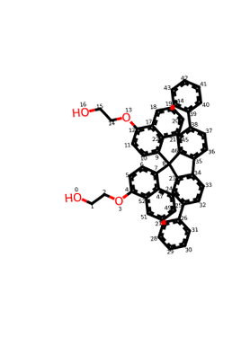 OCCOc1ccc(C2(c3ccc(OCCO)c4ccccc34)c3cc(-c4ccccc4)ccc3-c3ccc(-c4ccccc4)cc32)c2ccccc12